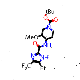 CCc1[nH]c(C(=O)NC2CCN(C(=O)OC(C)(C)C)CC2OC)nc1C(F)(F)F